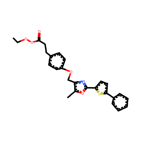 CCOOC(=O)CCc1ccc(OCc2nc(-c3ccc(-c4ccccc4)s3)oc2C)cc1